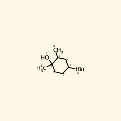 CC1CC(C(C)(C)C)CCC1(C)O